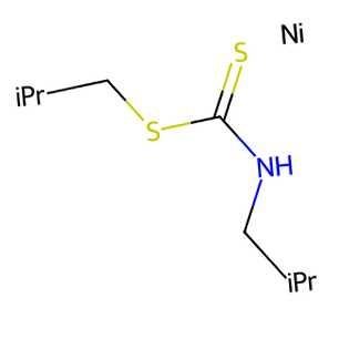 CC(C)CNC(=S)SCC(C)C.[Ni]